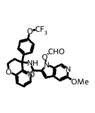 COc1cc2cc(C(=O)NC3(c4ccc(OC(F)(F)F)cc4)CCOc4cccnc43)n(OC=O)c2cn1